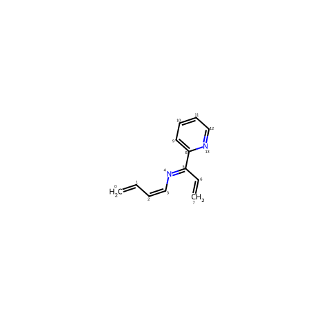 C=C/C=C\N=C(/C=C)c1ccccn1